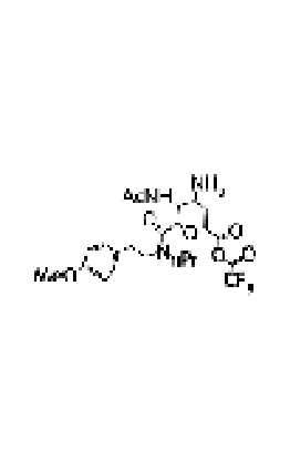 CCCN(CCc1ccc(OC)cc1)C(=O)[C@@H]1OC(C(=O)OC(=O)C(F)(F)F)=C[C@H](N)[C@H]1NC(C)=O